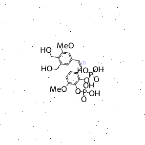 COc1cc(/C=C\c2ccc(OC)c(OP(=O)(O)O)c2OP(=O)(O)O)cc(CO)c1CO